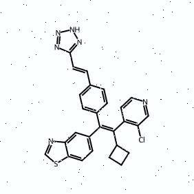 Clc1cnccc1/C(=C(\c1ccc(/C=C/c2nn[nH]n2)cc1)c1ccc2scnc2c1)C1CCC1